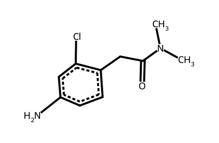 CN(C)C(=O)Cc1ccc(N)cc1Cl